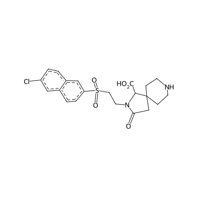 O=C(O)C1N(CCS(=O)(=O)c2ccc3cc(Cl)ccc3c2)C(=O)CC12CCNCC2